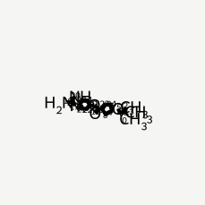 CC(C)(C)COc1ccc(C(=O)Oc2ccc(N=C(N)N)cc2)cc1